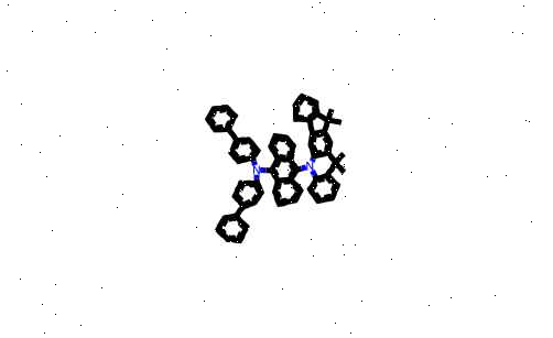 CC1(C)c2ccccc2-c2cc3c(cc21)C(C)(C)c1ccccc1N3c1c2ccccc2c(N(c2ccc(-c3ccccc3)cc2)c2ccc(-c3ccccc3)cc2)c2ccccc12